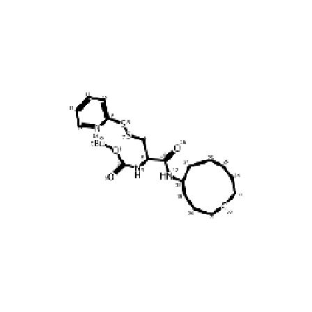 CC(C)(C)OC(=O)NC(CSSc1ccccn1)C(=O)NC1CCCCCCCCC1